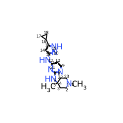 CN1CCC(C)(Nc2nccc(Nc3cc(C4CC4)[nH]n3)n2)CC1